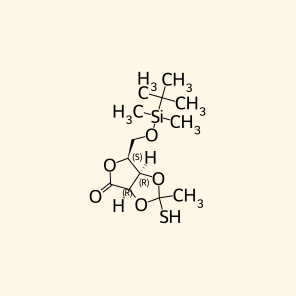 CC1(S)O[C@@H]2[C@H](CO[Si](C)(C)C(C)(C)C)OC(=O)[C@@H]2O1